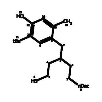 CCCCCCCCCCCCC(CCS)Cc1cc(C(C)(C)C)c(O)cc1C